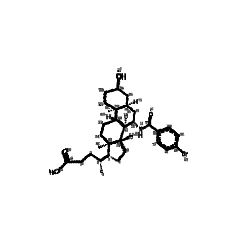 C[C@H](CCC(=O)O)[C@H]1CC[C@H]2[C@@H]3[C@@H](NC(=O)c4ccc(Br)cc4)C[C@@H]4C[C@H](O)CC[C@]4(C)[C@H]3CC[C@]12C